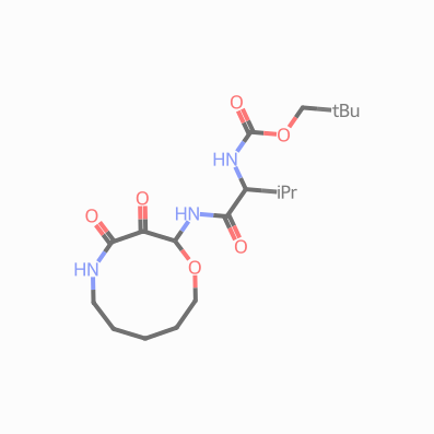 CC(C)C(NC(=O)OCC(C)(C)C)C(=O)NC1OCCCCCNC(=O)C1=O